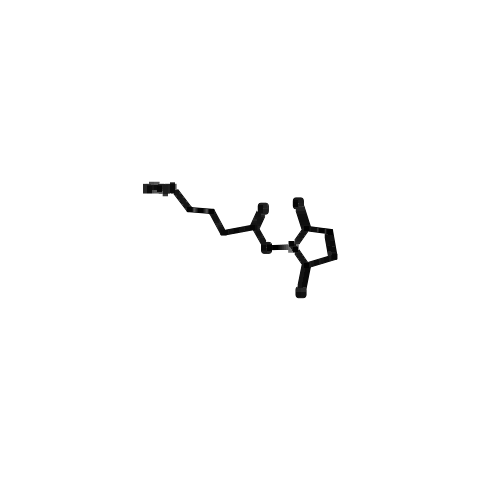 CCCCCCCCCCC(=O)ON1C(=O)C=CC1=O